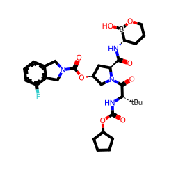 CC(C)(C)[C@H](NC(=O)OC1CCCC1)C(=O)N1C[C@H](OC(=O)N2Cc3cccc(F)c3C2)C[C@H]1C(=O)N[C@H]1CCCOB1O